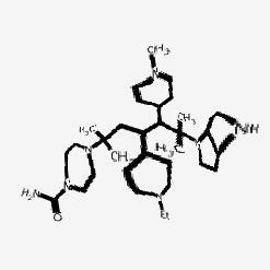 CCN1CCC(C(CC(C)(C)N2CCN(C(N)=O)CC2)C(C2CCN(C)CC2)C(C)(C)N2CCC3NCC32)CC1